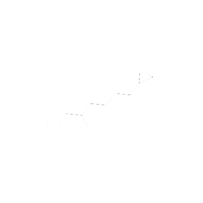 O=C(O)CC(O)CCCCC1CO1